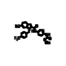 CC(C)(C)OC(=O)Nc1ccc(NC(=O)c2cc3ccc(C#N)cc3n2Cc2ccc(C(F)(F)F)cc2)cn1